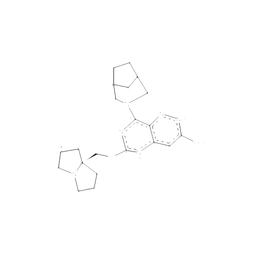 Oc1cc2nc(OC[C@@]34CCCN3C[C@H](F)C4)nc(N3CC4CCC(C4)C3)c2nn1